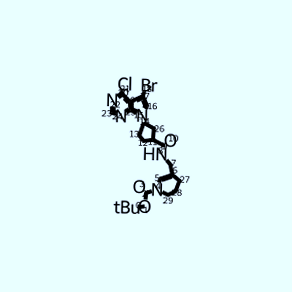 CC(C)(C)OC(=O)N1C=C(CNC(=O)C2CCC(n3cc(Br)c4c(Cl)ncnc43)C2)CCC1